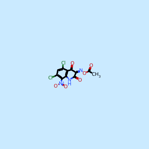 CC(=O)ON=C1C(=O)Nc2c(c(Cl)cc(Cl)c2[N+](=O)[O-])C1=O